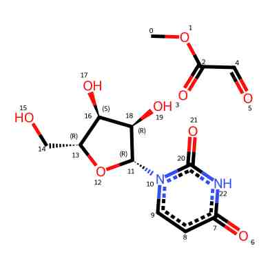 COC(=O)C=O.O=c1ccn([C@@H]2O[C@H](CO)[C@@H](O)[C@H]2O)c(=O)[nH]1